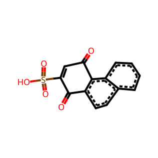 O=C1C(S(=O)(=O)O)=CC(=O)c2c1ccc1ccccc21